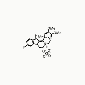 CCC1(C=C(OC)C(=O)OC)CCC[N@H+]2CCC3C(=C21)Nc1ccc(F)cc13.[O-][Cl+3]([O-])([O-])[O-]